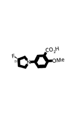 COc1ccc(N2CC[C@H](F)C2)cc1C(=O)O